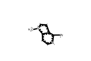 CC(C)c1nccc2c1ccn2C